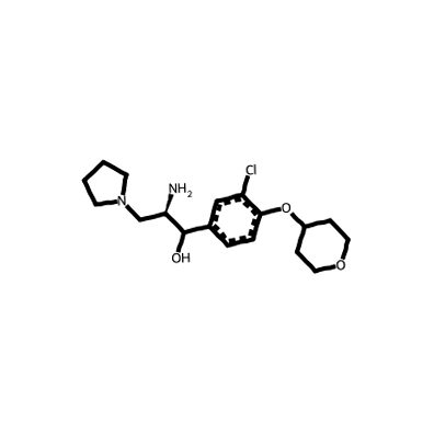 N[C@H](CN1CCCC1)C(O)c1ccc(OC2CCOCC2)c(Cl)c1